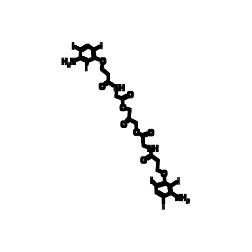 Nc1c(I)cc(I)c(OCCC(=O)NCC(=O)OCC(=O)COC(=O)CNC(=O)CCOc2c(I)cc(I)c(N)c2I)c1I